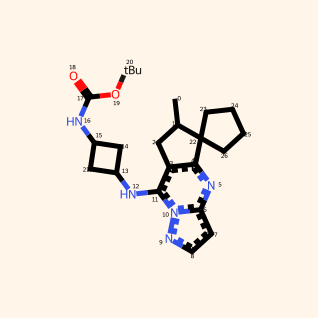 CC1Cc2c(nc3ccnn3c2NC2CC(NC(=O)OC(C)(C)C)C2)C12CCCC2